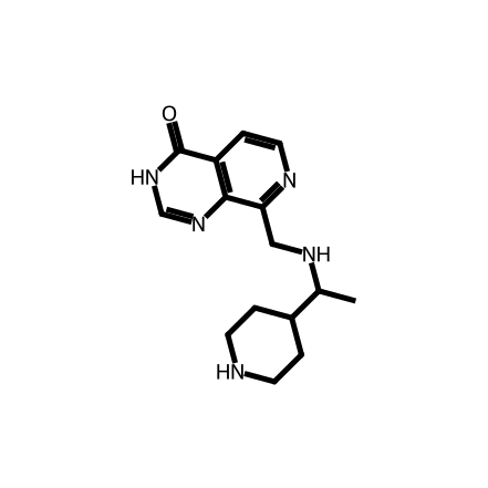 CC(NCc1nccc2c(=O)[nH]cnc12)C1CCNCC1